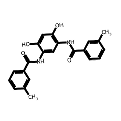 Cc1cccc(C(=O)Nc2cc(NC(=O)c3cccc(C)c3)c(O)cc2O)c1